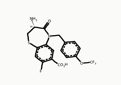 N[C@H]1CSc2cc(F)c(C(=O)O)cc2N(Cc2ccc(OC(F)(F)F)cc2)C1=O